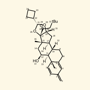 C=C1C=C[C@@]2(C)C(=C1)CC[C@@H]1[C@@H]2[C@@H](O)C[C@@]2(C)[C@H]1C[C@H]1O[C@@H](C3CCC3)O[C@]12C(=O)CC(C)(C)C